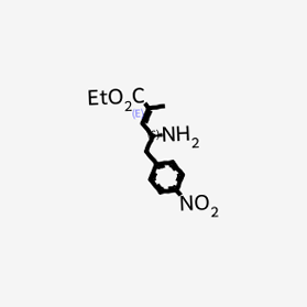 CCOC(=O)/C(C)=C/[C@@H](N)Cc1ccc([N+](=O)[O-])cc1